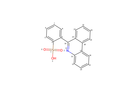 O=S(=O)(O)c1ccccc1-c1nc2ccccc2c2ccccc12